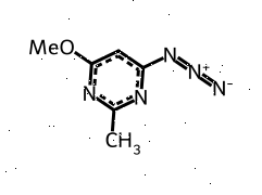 COc1cc(N=[N+]=[N-])nc(C)n1